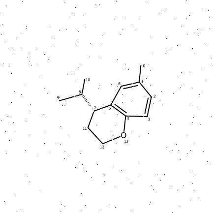 Cc1ccc2c(c1)[C@@H](C(C)C)CCO2